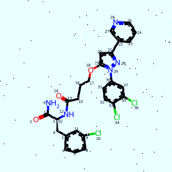 NC(=O)[C@H](Cc1cccc(Cl)c1)NC(=O)CCCOc1cc(-c2cccnc2)nn1-c1ccc(Cl)c(Cl)c1